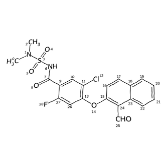 CN(C)S(=O)(=O)NC(=O)c1cc(Cl)c(Oc2ccc3ccccc3c2C=O)cc1F